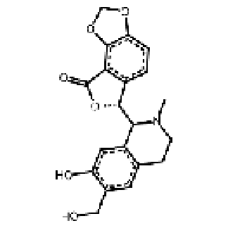 CN1CCc2cc(CO)c(O)cc2[C@H]1[C@@H]1OC(=O)c2c1ccc1c2OCO1